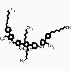 CCCCCCCCc1ccc(-c2ccc(Nc3ccc(-c4cc(CCCCCC)c(-c5ccc(Nc6ccc(-c7ccc(CCCCCCCC)cc7)c(CC)c6)cc5C)cc4CCCCCC)c(C)c3)cc2CC)cc1